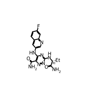 CC[C@@H](Nc1nnc(C(N)=O)c(Nc2cnc3cc(F)ccc3c2)n1)C(N)=O